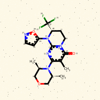 Cc1c(N2[C@H](C)COC[C@H]2C)nc2n(c1=O)CC[C@@H](C(F)(F)F)N2c1ccno1